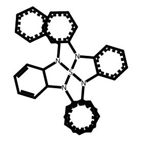 C1=CC2C(C=C1)N(c1ccccc1)S1(N(c3ccccc3)c3ccccc3N1c1ccccc1)N2Cc1ccccc1